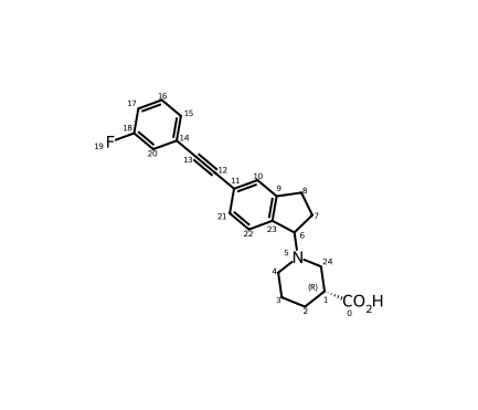 O=C(O)[C@@H]1CCCN(C2CCc3cc(C#Cc4cccc(F)c4)ccc32)C1